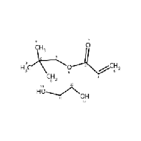 C=CC(=O)OCC(C)(C)C.OCCO